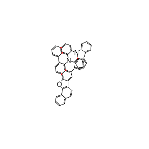 c1ccc(-c2ccccc2N(c2ccccc2-c2ccc3oc4c5ccccc5ccc4c3c2)c2ccccc2-n2c3ccccc3c3ccccc32)cc1